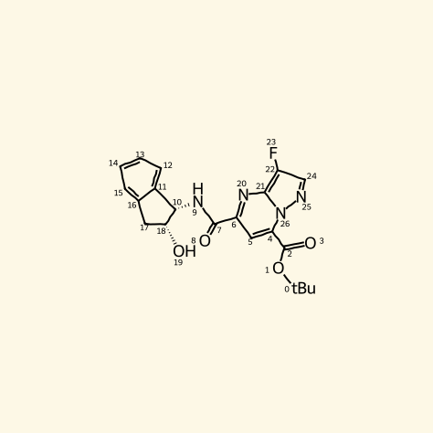 CC(C)(C)OC(=O)c1cc(C(=O)N[C@H]2c3ccccc3C[C@H]2O)nc2c(F)cnn12